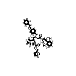 CC(C)(CNC(=O)CN(Cc1ccc(OCc2ccccc2)cc1)C(=O)[C@@H](CNC(=O)OCc1ccco1)c1cnc[nH]1)c1ccccc1